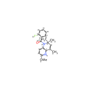 COc1ccc2c(n1)C(C)=CC(C)(C)N2C(=O)c1ccccc1F